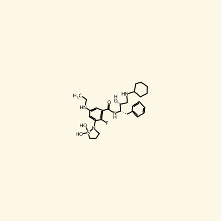 CCNc1cc(C(=O)N[C@@H](Cc2ccccc2)[C@H](O)CNC2CCCCC2)c(F)c(N2CCCS2(O)O)c1